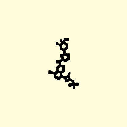 CC(C)c1cnc(N2C[C@H](CS(C)(=O)=O)[C@H]2C)c2cnc(Nc3ccnc(N4CC[C@@](C)(O)[C@@H](F)C4)n3)cc12